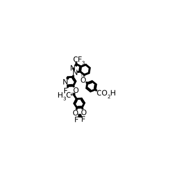 C[C@H](Oc1cc(-n2nc(C(F)(F)F)c3c2[C@@H](Oc2ccc(C(=O)O)cc2)CCC3)cnc1F)c1ccc2c(c1)OC(F)(F)O2